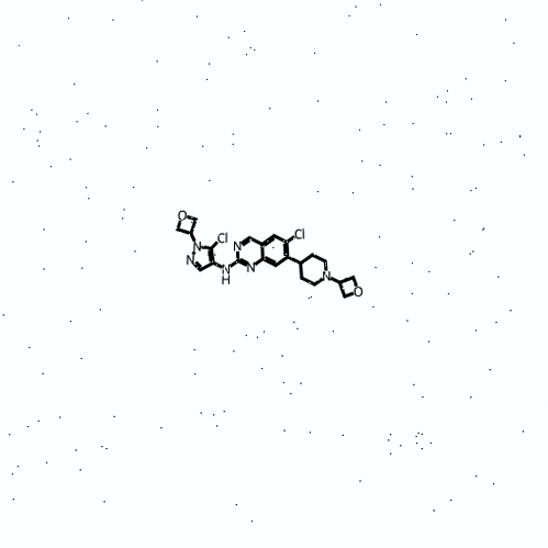 Clc1cc2cnc(Nc3cnn(C4COC4)c3Cl)nc2cc1C1CCN(C2COC2)CC1